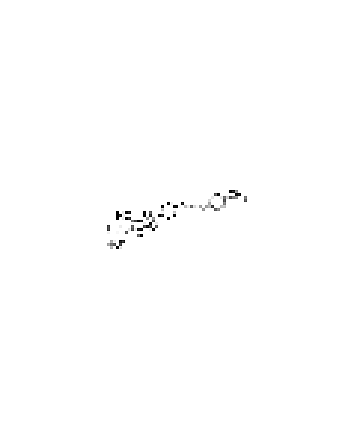 CC1CCC(CCCCC2CCC(C3OC4OC(C(O)CO)C(O)C4O3)CC2)CC1